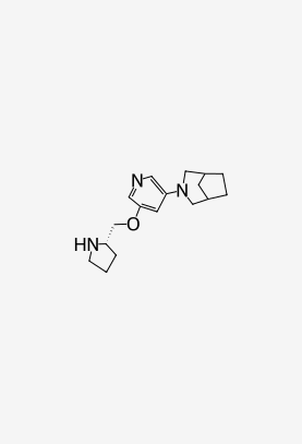 c1ncc(N2CC3CCC(C3)C2)cc1OC[C@@H]1CCCN1